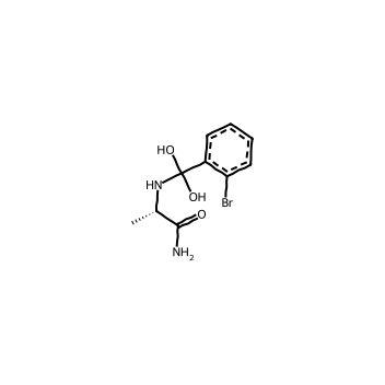 C[C@H](NC(O)(O)c1ccccc1Br)C(N)=O